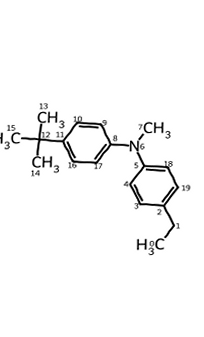 CCc1ccc(N(C)c2ccc(C(C)(C)C)cc2)cc1